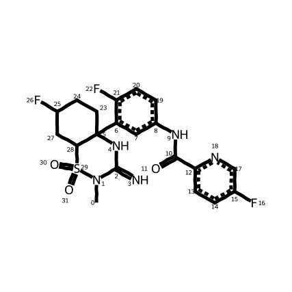 CN1C(=N)NC2(c3cc(NC(=O)c4ccc(F)cn4)ccc3F)CCC(F)CC2S1(=O)=O